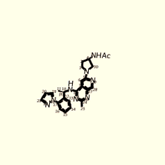 CC(=O)N[C@@H]1CCN(c2cc3c(N[C@H](C)c4ccccc4-n4cccn4)nc(C)nc3cn2)C1